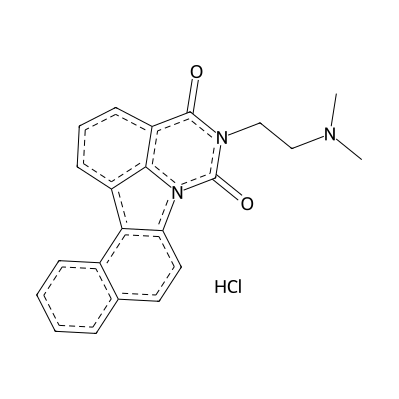 CN(C)CCn1c(=O)c2cccc3c4c5ccccc5ccc4n(c1=O)c23.Cl